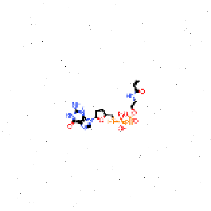 C=CC(=O)NCCOP(=O)(O)PP(=O)(O)PC[C@@H]1CC[C@H](n2cnc3c(=O)[nH]c(N)nc32)O1